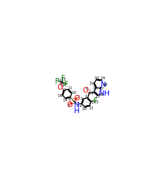 O=C(c1cc(NS(=O)(=O)c2ccc(OC(F)(F)F)cc2)ccc1F)c1c[nH]c2ncccc12